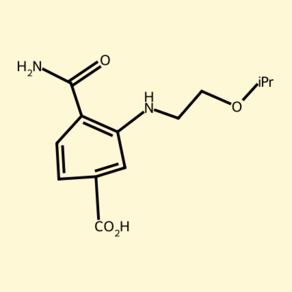 CC(C)OCCNc1cc(C(=O)O)ccc1C(N)=O